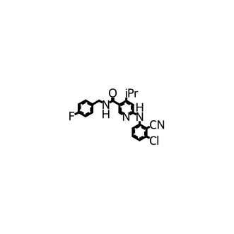 CC(C)c1cc(Nc2cccc(Cl)c2C#N)ncc1C(=O)NCc1ccc(F)cc1